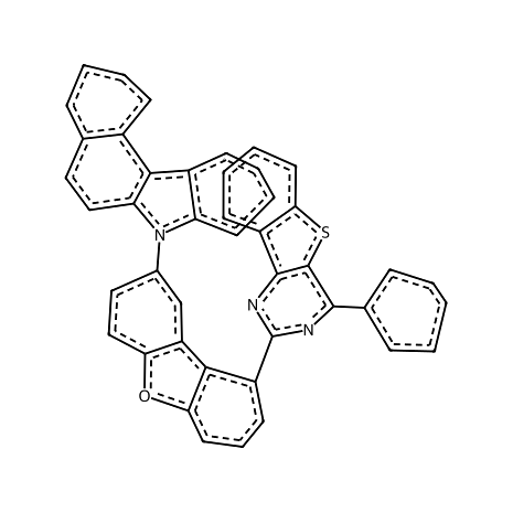 c1ccc(-c2nc(-c3cccc4oc5ccc(-n6c7ccccc7c7c8ccccc8ccc76)cc5c34)nc3c2sc2ccccc23)cc1